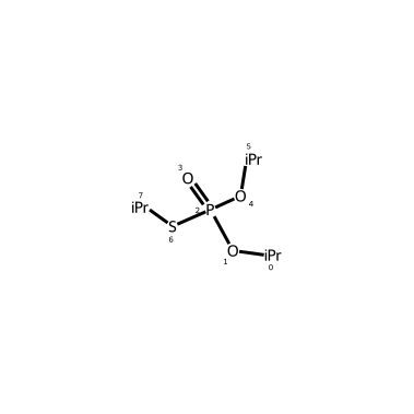 CC(C)OP(=O)(OC(C)C)SC(C)C